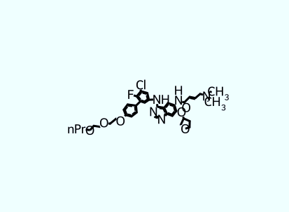 CCCOCCOCCOc1ccc(-c2cc(Nc3ncnc4cc(OC5CCOC5)c(NC(=O)/C=C/CN(C)C)cc34)cc(Cl)c2F)cc1